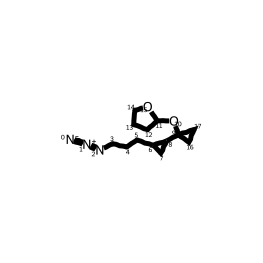 [N-]=[N+]=NCCCC1CC1C1(OC2CCCO2)CC1